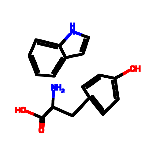 NC(Cc1ccc(O)cc1)C(=O)O.c1ccc2[nH]ccc2c1